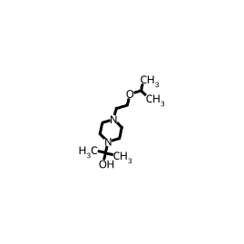 CC(C)OCCN1CCN(C(C)(C)O)CC1